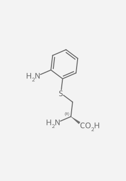 Nc1ccccc1SC[C@H](N)C(=O)O